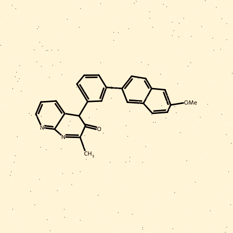 COc1ccc2cc(-c3cccc(C4C(=O)C(C)=Nc5ncccc54)c3)ccc2c1